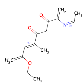 C=C(/C=C(\C)C(=O)CC(=O)C(=C)/N=C\C)OCC